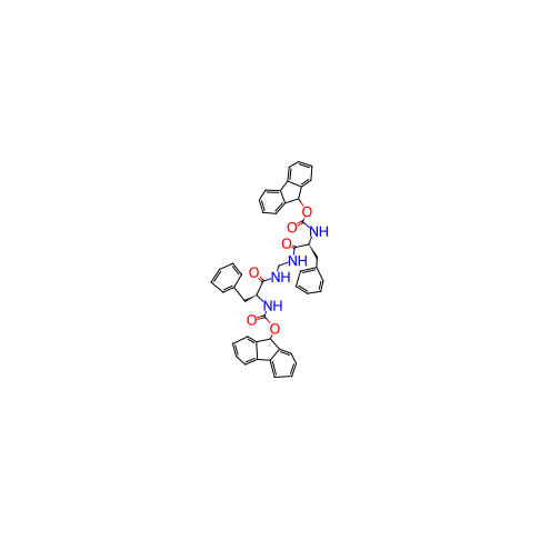 O=C(N[C@@H](Cc1ccccc1)C(=O)NCNC(=O)[C@H](Cc1ccccc1)NC(=O)OC1c2ccccc2-c2ccccc21)OC1c2ccccc2-c2ccccc21